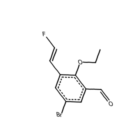 CCOc1c(C=O)cc(Br)cc1C=CF